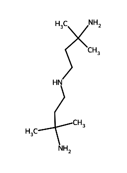 CC(C)(N)CCNCCC(C)(C)N